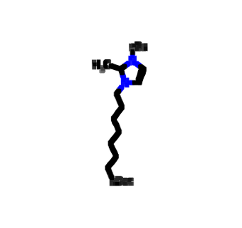 CCCCCCCCCCCCCCCCCN1C=CN(CCCC)C1C